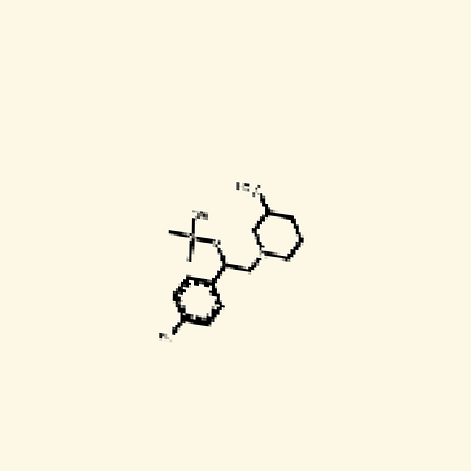 CC(C)(C)[Si](C)(C)OC(CN1CCCC(C(=O)O)C1)c1ccc(C#N)cc1